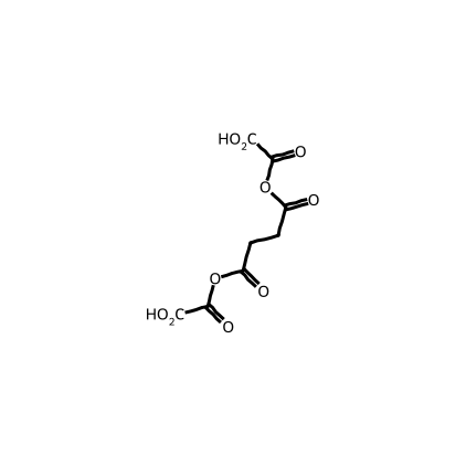 O=C(CCC(=O)OC(=O)C(=O)O)OC(=O)C(=O)O